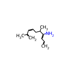 C=C/C=C(\N)C(C)C/C=C\C(=C)C